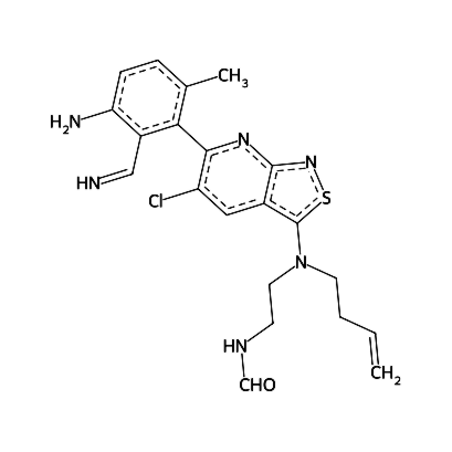 C=CCCN(CCNC=O)c1snc2nc(-c3c(C)ccc(N)c3C=N)c(Cl)cc12